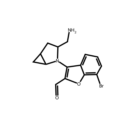 NCC1CC2CC2N1c1c(C=O)oc2c(Br)cccc12